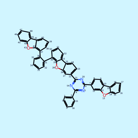 c1ccc(-c2nc(-c3ccc4c(c3)oc3ccccc34)nc(-c3ccc4c(c3)oc3c(-c5ccccc5-c5cccc6c5oc5ccccc56)cccc34)n2)cc1